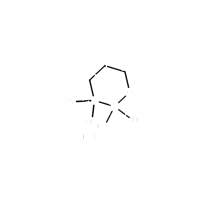 CC(C)[Si]1(C(C)C)CCCO[Si]1(C(C)C)C(C)C.Cl